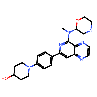 CN(c1nc(-c2ccc(N3CCC(O)CC3)cc2)cc2nccnc12)[C@@H]1CNCCO1